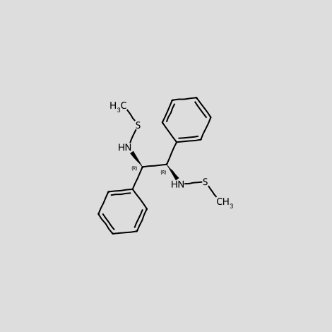 CSN[C@H](c1ccccc1)[C@H](NSC)c1ccccc1